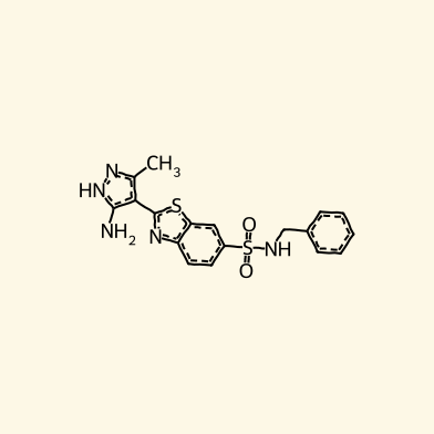 Cc1n[nH]c(N)c1-c1nc2ccc(S(=O)(=O)NCc3ccccc3)cc2s1